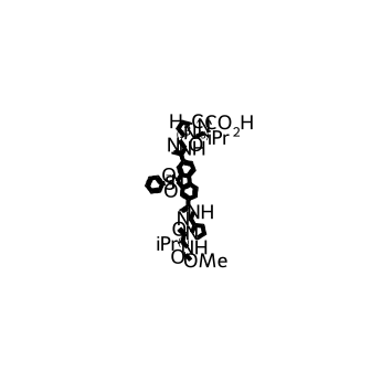 COC(=O)N[C@H](C(=O)N1CCCC1c1ncc(-c2ccc3c4ccc(-c5cnc([C@@H]6CCCN6C(=O)[C@H](C(C)C)N(C)C(=O)O)[nH]5)cc4n(S(=O)(=O)c4ccccc4)c3c2)[nH]1)C(C)C